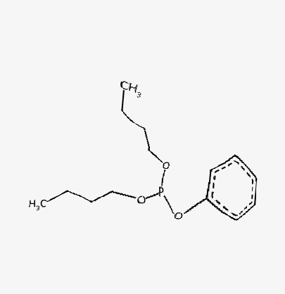 CCCCOP(OCCCC)Oc1ccccc1